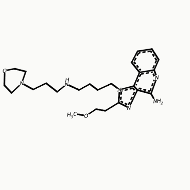 COCCc1nc2c(N)nc3ccccc3c2n1CCCCNCCCN1CCOCC1